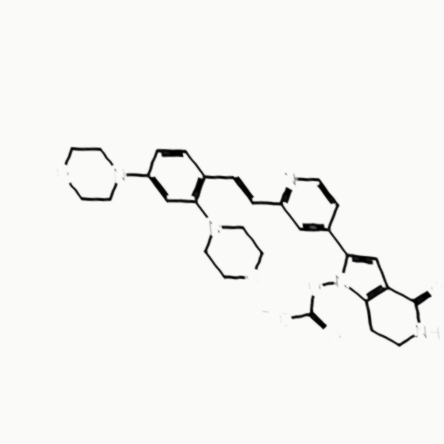 O=C1NCCc2c1cc(-c1ccnc(C=Cc3ccc(N4CCOCC4)cc3N3CCOCC3)c1)n2OC(=O)C(F)(F)F